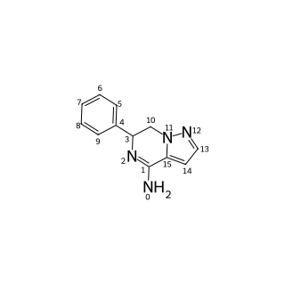 NC1=NC(c2ccccc2)Cn2nccc21